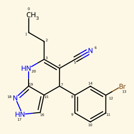 CCCC1=C(C#N)C(c2cccc(Br)c2)c2c[nH]nc2N1